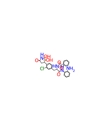 Nc1ccccc1NC(=O)C(Cc1ccc(C2CC(=O)NS2(O)O)c(Cl)c1)NS(=O)(=O)c1ccccc1